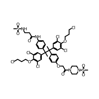 CC(c1ccc(NC(=O)CCNS(C)(=O)=O)cc1)(c1cc(Cl)c(OCCCCl)c(Cl)c1)C(C)(c1ccc(OCC(=O)N2CCN(S(C)(=O)=O)CC2)cc1)c1cc(Cl)c(OCCCCl)c(Cl)c1